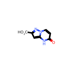 O=C(O)c1cc2[nH]c(=O)ccn2n1